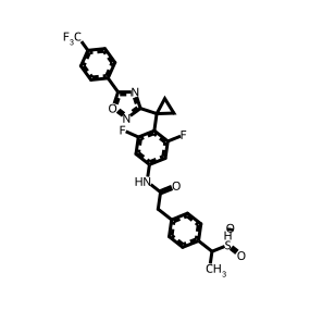 CC(c1ccc(CC(=O)Nc2cc(F)c(C3(c4noc(-c5ccc(C(F)(F)F)cc5)n4)CC3)c(F)c2)cc1)[SH](=O)=O